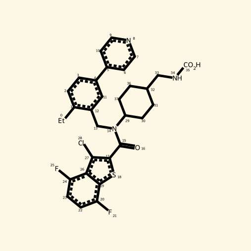 CCc1ccc(-c2ccncc2)cc1CN(C(=O)c1sc2c(F)ccc(F)c2c1Cl)C1CCC(CNC(=O)O)CC1